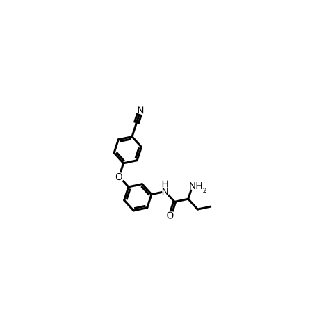 CCC(N)C(=O)Nc1cccc(Oc2ccc(C#N)cc2)c1